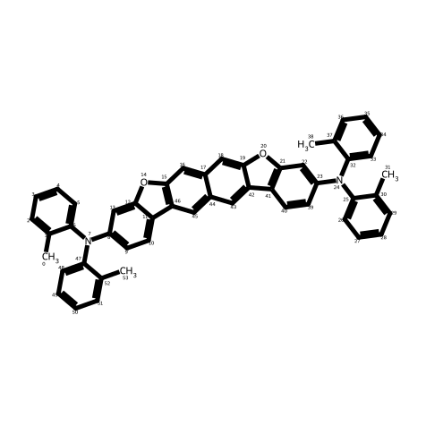 Cc1ccccc1N(c1ccc2c(c1)oc1cc3cc4oc5cc(N(c6ccccc6C)c6ccccc6C)ccc5c4cc3cc12)c1ccccc1C